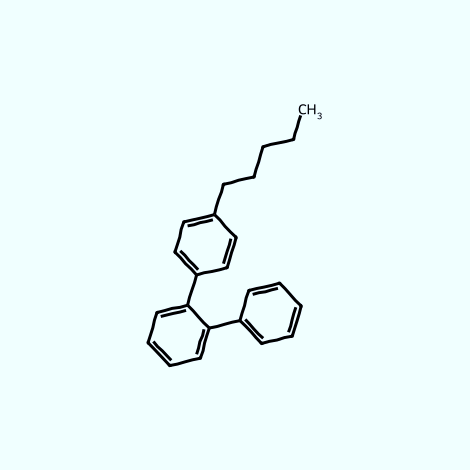 CCCCCc1ccc(-c2ccccc2-c2ccccc2)cc1